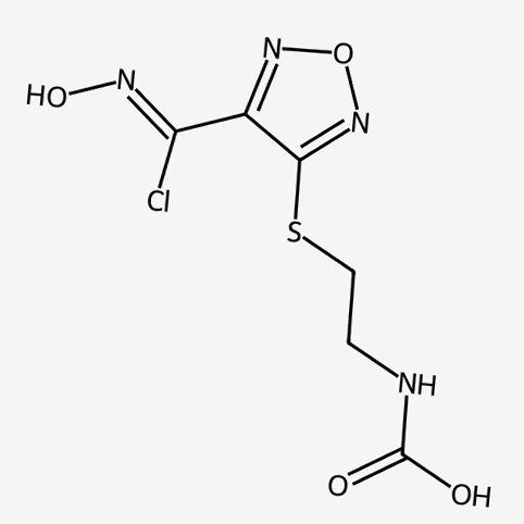 O=C(O)NCCSc1nonc1C(Cl)=NO